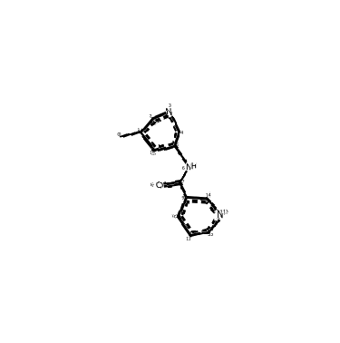 Cc1cncc(NC(=O)c2cccnc2)c1